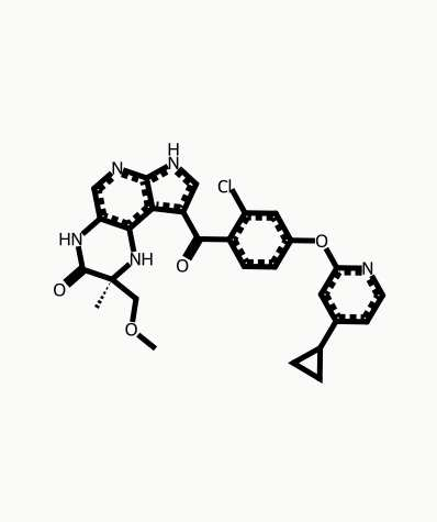 COC[C@]1(C)Nc2c(cnc3[nH]cc(C(=O)c4ccc(Oc5cc(C6CC6)ccn5)cc4Cl)c23)NC1=O